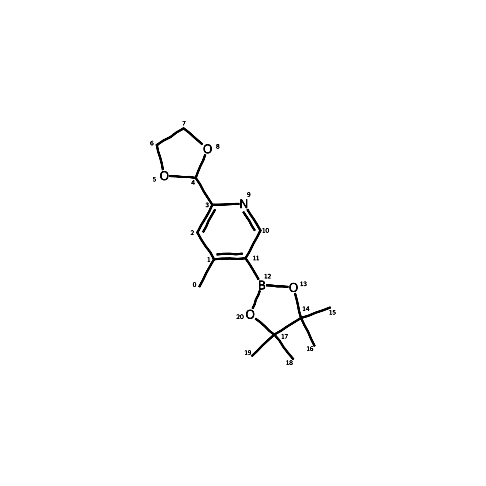 Cc1cc(C2OCCO2)ncc1B1OC(C)(C)C(C)(C)O1